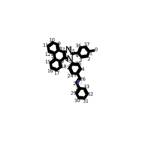 Cc1ccc(-c2nc3c4ccccc4c4ccccc4c3n2-c2ccc(/C=C/c3ccccc3)cc2)cc1